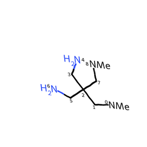 CNCC(CN)(CN)CNC